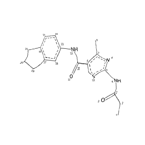 CCC(=O)Nc1nc(C)c(C(=O)Nc2ccc3c(c2)CCC3)s1